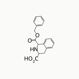 O=C(O)C1Cc2ccccc2C(C(=O)OCc2ccccc2)N1